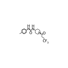 Cc1ccc(NC(=O)NC2CCN(C(=O)CCC(F)(F)F)CC2)cc1